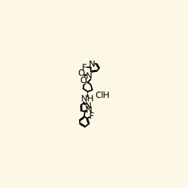 Cl.O=C1O[C@]2(CC[C@H](CNc3ccc(-c4ccccc4F)nn3)CC2)CN1c1cccnc1F